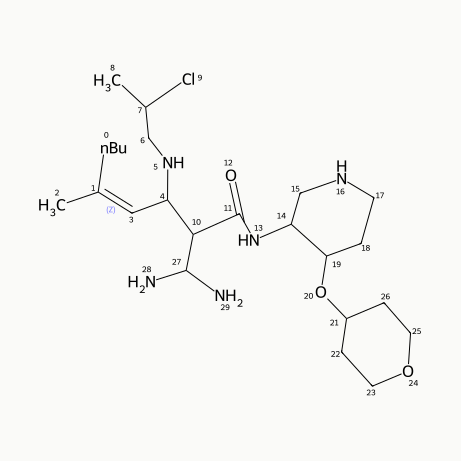 CCCC/C(C)=C\C(NCC(C)Cl)C(C(=O)NC1CNCCC1OC1CCOCC1)C(N)N